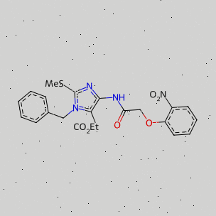 CCOC(=O)c1c(NC(=O)COc2ccccc2[N+](=O)[O-])nc(SC)n1Cc1ccccc1